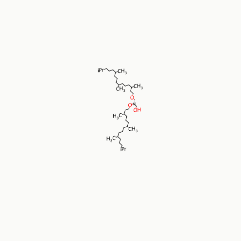 CC(C)CCCC(C)CCCC(C)CCCC(C)CCOC[C@H](CO)OCCC(C)CCCC(C)CCCC(C)CCCC(C)C